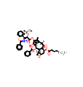 CC(=O)O[C@@]12COC1C[C@H](OC(=O)CCCC(=O)O)[C@@]1(C)C(=O)[C@H](C)C3=C(C)[C@@H](OC(=O)[C@H](O[Si](C)(C)C(C)(C)C)[C@@H](NC(=O)c4ccccc4)c4ccccc4)C[C@@](O)([C@@H](OC(=O)c4ccccc4)[C@@H]12)C3(C)C